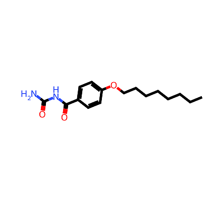 CCCCCCCCOc1ccc(C(=O)NC(N)=O)cc1